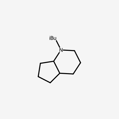 CCC(C)N1CCCC2CCCC21